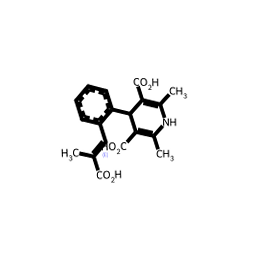 CC1=C(C(=O)O)C(c2ccccc2/C=C(\C)C(=O)O)C(C(=O)O)=C(C)N1